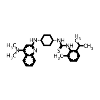 Cc1cccc(C(C)C)c1NC(=S)N[C@H]1CC[C@@H](Nc2cc(N(C)C)c3ccccc3n2)CC1